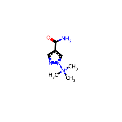 C[N+](C)(C)n1cc(C(N)=O)cn1